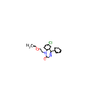 C=COCCN1C(=O)CN=C(c2ccccc2)c2cc(Cl)ccc21